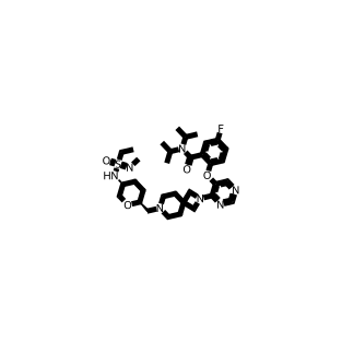 CCS(=O)(=NC)N[C@@H]1CC[C@@H](CN2CCC3(CC2)CN(c2ncncc2Oc2ccc(F)cc2C(=O)N(C(C)C)C(C)C)C3)OC1